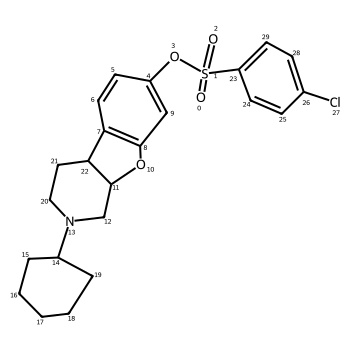 O=S(=O)(Oc1ccc2c(c1)OC1CN(C3CCCCC3)CCC21)c1ccc(Cl)cc1